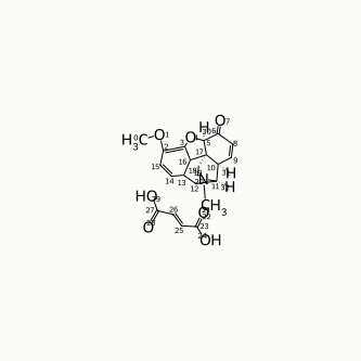 COC1=C2O[C@H]3C(=O)C=C[C@H]4[C@H]5CC(C=C1)C2[C@@]34CCN5C.O=C(O)/C=C/C(=O)O